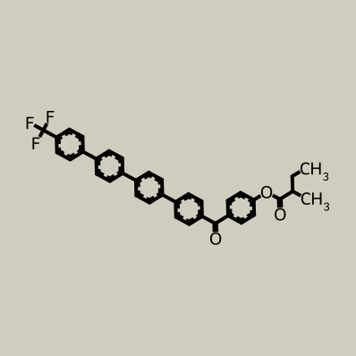 CCC(C)C(=O)Oc1ccc(C(=O)c2ccc(-c3ccc(-c4ccc(-c5ccc(C(F)(F)F)cc5)cc4)cc3)cc2)cc1